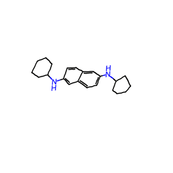 c1cc2cc(NC3CCCCC3)ccc2cc1NC1CCCCC1